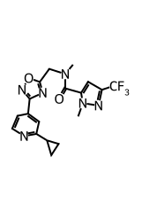 CN(Cc1nc(-c2ccnc(C3CC3)c2)no1)C(=O)c1cc(C(F)(F)F)nn1C